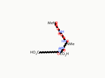 CNC(=O)COCCOCCNC(=O)COCCOCCNC(=O)[C@H](CCCCNC(=O)CC[C@H](NC(=O)CCCCCCCCCCCCCCCCC(=O)O)C(=O)O)NC